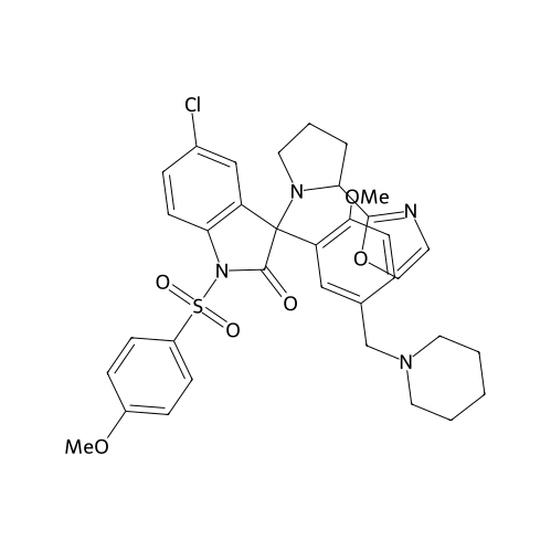 COc1ccc(S(=O)(=O)N2C(=O)C(c3cc(CN4CCCCC4)ccc3OC)(N3CCCC3c3ncco3)c3cc(Cl)ccc32)cc1